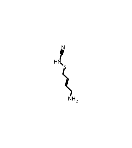 N#CNSCC=CCN